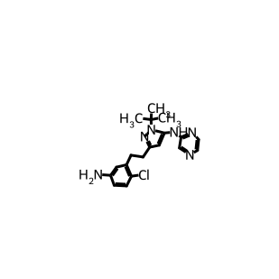 CC(C)(C)n1nc(CCc2cc(N)ccc2Cl)cc1Nc1cnccn1